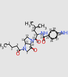 CCCCC(=O)N1CC(=O)C2C1CCN2C(=O)C(CC(C)C)NC(=O)c1ccc(N)cc1